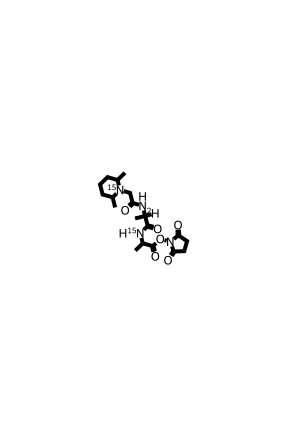 [2H]C(C)(NC(=O)C[15N]1C(C)CCCC1C)C(=O)[15NH]C(C)C(=O)ON1C(=O)CCC1=O